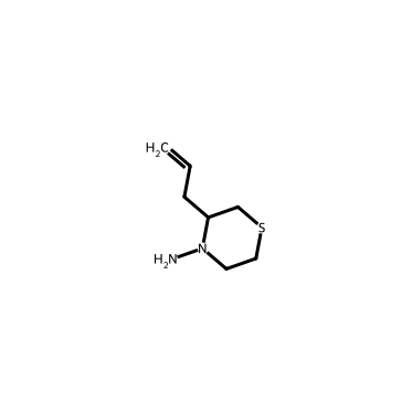 C=CCC1CSCCN1N